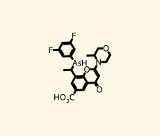 CC([AsH]c1cc(F)cc(F)c1)c1cc(C(=O)O)cc2c(=O)cc(N3CCOCC3C)oc12